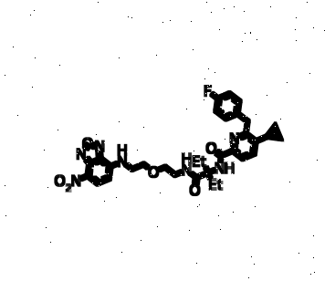 CCC(CC)(NC(=O)c1ccc(C2CC2)c(Cc2ccc(F)cc2)n1)C(=O)NCCOCCNc1ccc([N+](=O)[O-])c2nonc12